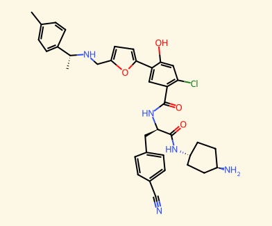 Cc1ccc([C@@H](C)NCc2ccc(-c3cc(C(=O)N[C@H](Cc4ccc(C#N)cc4)C(=O)N[C@H]4CC[C@H](N)CC4)c(Cl)cc3O)o2)cc1